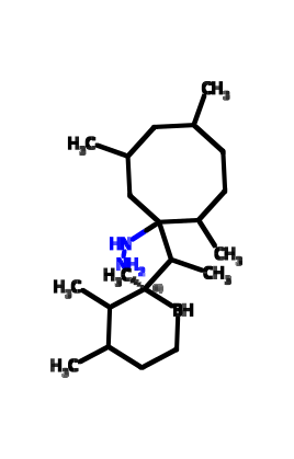 CC1CCC(C)C(NN)(C(C)[C@@]2(C)BCCC(C)C2C)CC(C)C1